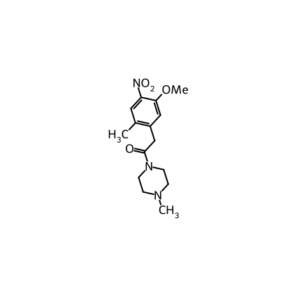 COc1cc(CC(=O)N2CCN(C)CC2)c(C)cc1[N+](=O)[O-]